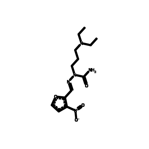 CCN(CC)CCCN(N=Cc1occc1[N+](=O)[O-])C(N)=O